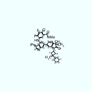 CNC(=O)c1cc(Nc2nc(-c3cnc4c(c3)N([C@H]3C[C@@](C)(N5CCCCC5)C3)C(=O)C4(C)C)cc3ncn(C(C)C)c23)c(F)c(F)c1Cl